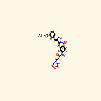 COc1cccc(C=C2CCn3c2nc2cc(NC(=O)CCN4CCOCC4)ccc2c3=O)c1